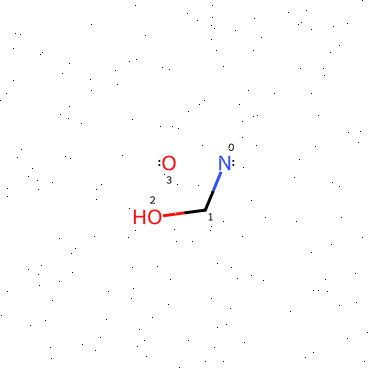 [N]CO.[O]